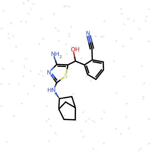 N#Cc1ccccc1C(O)c1sc(N[C@H]2CC3CCC2C3)nc1N